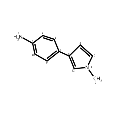 Cn1ccc(-c2ccc(N)cc2)c1